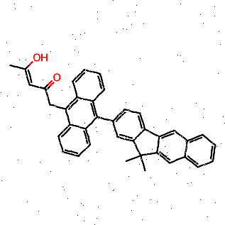 CC(O)=CC(=O)Cc1c2ccccc2c(-c2ccc3c(c2)C(C)(C)c2cc4ccccc4cc2-3)c2ccccc12